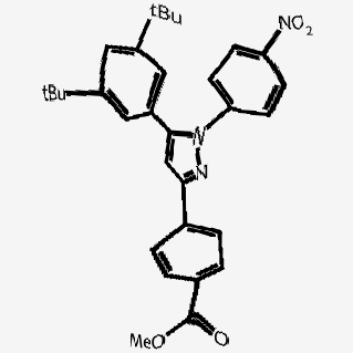 COC(=O)c1ccc(-c2cc(-c3cc(C(C)(C)C)cc(C(C)(C)C)c3)n(-c3ccc([N+](=O)[O-])cc3)n2)cc1